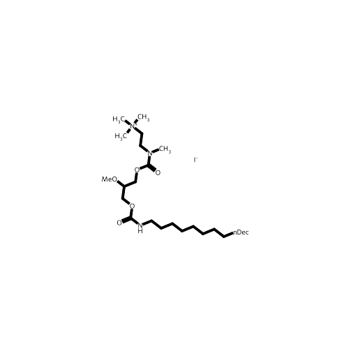 CCCCCCCCCCCCCCCCCCNC(=O)OCC(COC(=O)N(C)CC[N+](C)(C)C)OC.[I-]